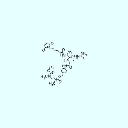 CC(C)C(NC(=O)CCCCCN1C(=O)C=CC1=O)C(=O)N[C@H](CCCNC(N)=O)C(=O)Nc1ccc(COC(=O)N(C)CCN(C)C(=O)OC(C)(C)C)cc1